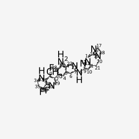 Cc1c(-c2cc3cc(Nc4cc5n(n4)Cc4nccn4CC5)ncc3c(N)c2F)cnc2c1NCCC2(F)F